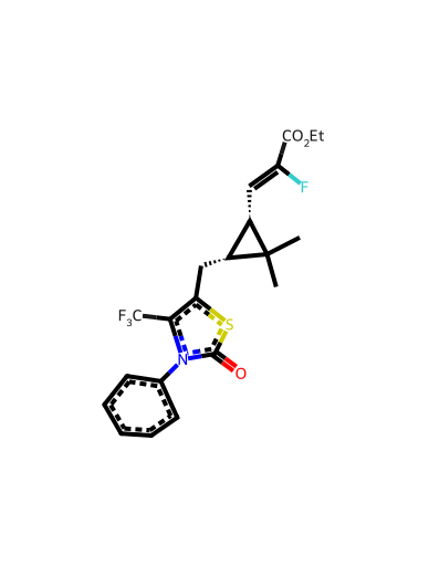 CCOC(=O)C(F)=C[C@H]1[C@@H](Cc2sc(=O)n(-c3ccccc3)c2C(F)(F)F)C1(C)C